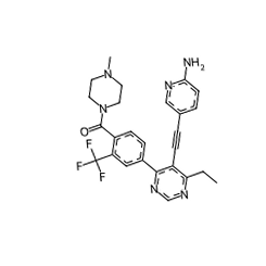 CCc1ncnc(-c2ccc(C(=O)N3CCN(C)CC3)c(C(F)(F)F)c2)c1C#Cc1ccc(N)nc1